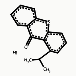 CC(C)c1cccc2sc3ccccc3c(=O)c12.I